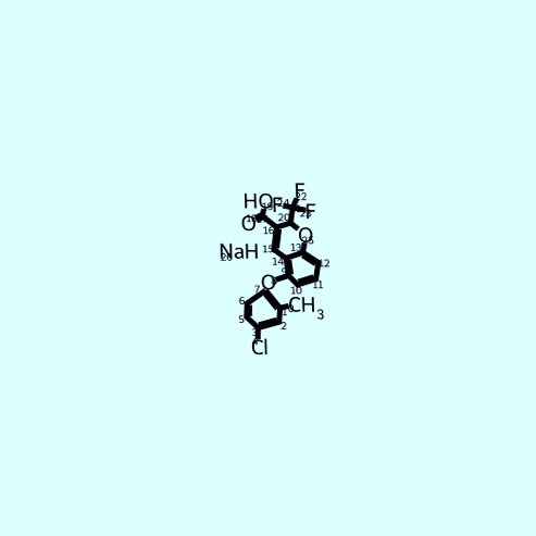 Cc1cc(Cl)ccc1Oc1cccc2c1C=C(C(=O)O)C(C(F)(F)F)O2.[NaH]